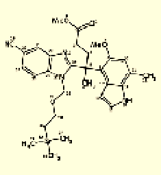 COC(=O)CCC(C)(c1c(OC)cc(C)c2[nH]ccc12)c1nc2cc(C#N)ccc2n1COCC[Si](C)(C)C